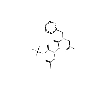 CC(=O)CN(CC(=O)N(CC(=O)O)Cc1ccccc1)C(=O)OC(C)(C)C